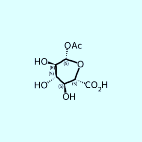 CC(=O)O[C@@H]1O[C@H](C(=O)O)[C@@H](O)[C@H](O)[C@H]1O